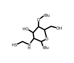 CC(C)(C)OC1C(CO)OC(C(C)(C)C)C(NCS)C1O